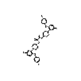 O=C(ON1CCC(c2cc(F)ccc2Sc2ccc(F)cc2)CC1)C(=O)ON1CCC(c2cc(F)ccc2Sc2ccc(F)cc2)CC1